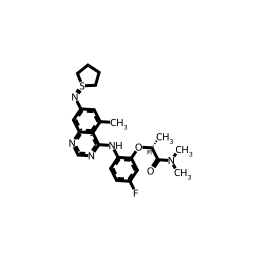 Cc1cc(N=S2CCCC2)cc2ncnc(Nc3ccc(F)cc3O[C@H](C)C(=O)N(C)C)c12